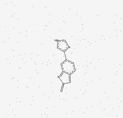 O=C1C=c2ccc(-c3c[nH]cn3)cc2=N1